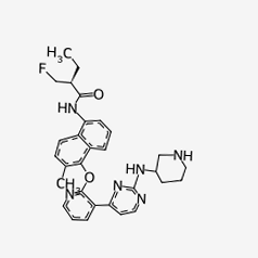 CC[C@H](CF)C(=O)Nc1cccc2c(Oc3ncccc3-c3ccnc(NC4CCCNC4)n3)c(C)ccc12